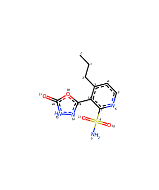 CCCc1ccnc(S(N)(=O)=O)c1-c1n[nH]c(=O)o1